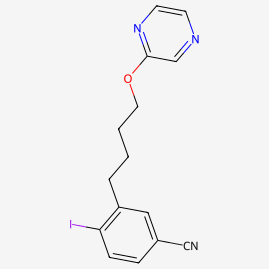 N#Cc1ccc(I)c(CCCCOc2cnccn2)c1